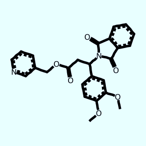 COc1ccc(C(CC(=O)OCc2cccnc2)N2C(=O)c3ccccc3C2=O)cc1OC